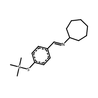 C[Si](C)(C)Sc1ccc(/C=N/C2CCCCCC2)cc1